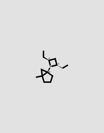 CC[C@H]1C[C@H](CC)P1[C@@]12CCCC1(C)C2